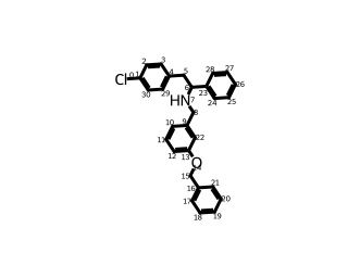 Clc1ccc(CC(NCc2cccc(OCc3ccccc3)c2)c2ccccc2)cc1